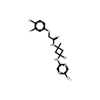 CCC1(Nc2cnc(C(F)(F)F)cn2)CC(C)(NC(=O)COc2ccc(Cl)c(F)c2)C1